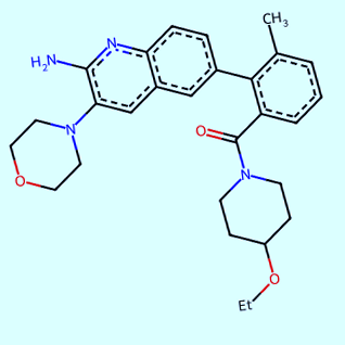 CCOC1CCN(C(=O)c2cccc(C)c2-c2ccc3nc(N)c(N4CCOCC4)cc3c2)CC1